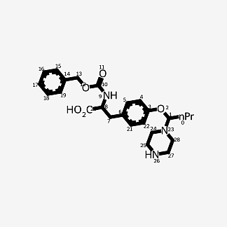 CCCC(Oc1ccc(CC(NC(=O)OCc2ccccc2)C(=O)O)cc1)N1CCNCC1